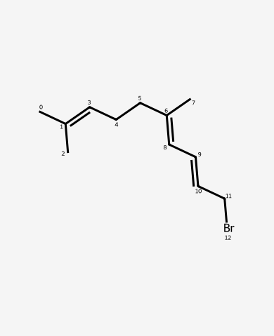 CC(C)=CCCC(C)=CC=CCBr